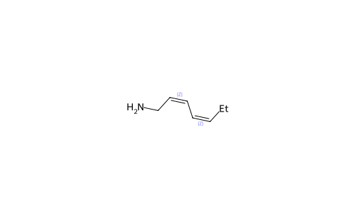 CC/C=C\C=C/CN